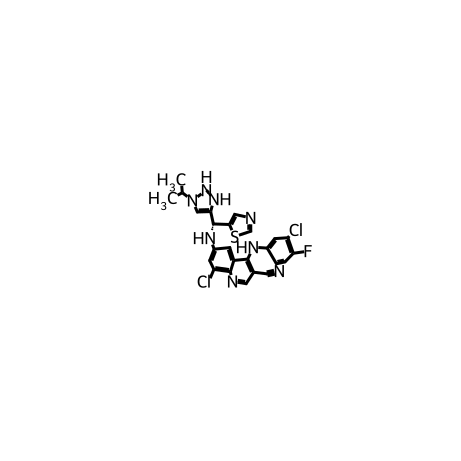 CC(C)N1C=C([C@@H](Nc2cc(Cl)c3ncc(C#N)c(Nc4ccc(F)c(Cl)c4)c3c2)c2cncs2)NN1